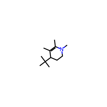 CC1=C(C)N(C)CCC1C(C)(C)C